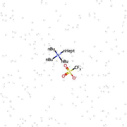 CCCCCCC[N+](CCCC)(CCCC)CCCC.O=S(=O)([O-])C(F)(F)F